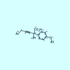 CCOc1ccc(C(C#CCC(C)=O)(C(=O)O)C(C)C)cc1